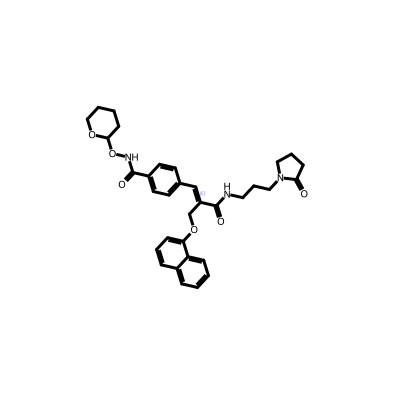 O=C(NCCCN1CCCC1=O)/C(=C/c1ccc(C(=O)NOC2CCCCO2)cc1)COc1cccc2ccccc12